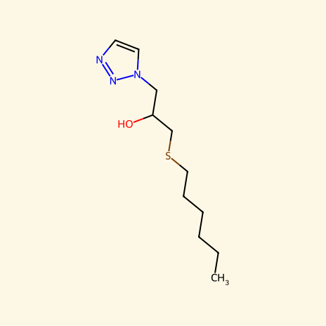 CCCCCCSCC(O)Cn1ccnn1